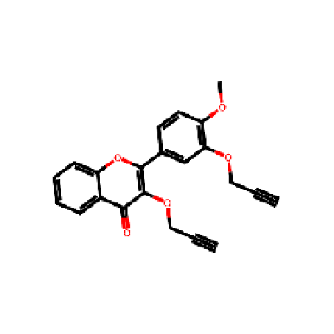 C#CCOc1cc(-c2oc3ccccc3c(=O)c2OCC#C)ccc1OC